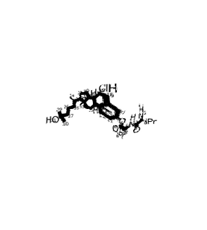 CC(C)[C@@H](N)C(=O)N[C@@H](C(=O)O[C@H]1CC[C@@]2(C)C(=CC[C@H]3[C@@H]4CC[C@H]([C@H](C)CCCC(C)(C)O)[C@@]4(C)CC[C@@H]32)C1)C(C)C.Cl